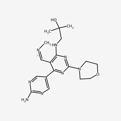 C/N=C\c1c(NCC(C)(C)O)nc(N2CCOCC2)nc1-c1cnc(N)nc1